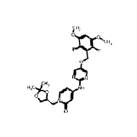 COc1cc(OC)c(F)c(COc2cnc(Nc3ccn(C[C@H]4COC(C)(C)O4)c(=O)c3)nc2)c1F